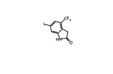 O=C1Cc2c(cc(I)cc2C(F)(F)F)N1